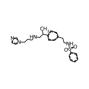 CC(CNCCCn1ccnc1)c1ccc(CCNS(=O)(=O)c2ccccc2)cc1